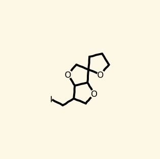 ICC1COC2C1OCC21CCCO1